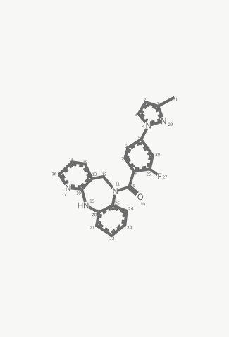 Cc1ccn(-c2ccc(C(=O)N3Cc4cccnc4Nc4ccccc43)c(F)c2)n1